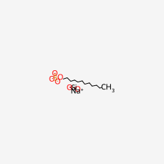 CCCCCCCCCCCCOS(=O)(=O)[O-].O=[Si]=O.[Na+]